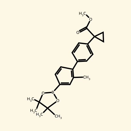 COC(=O)C1(c2ccc(-c3ccc(B4OC(C)(C)C(C)(C)O4)cc3C)cc2)CC1